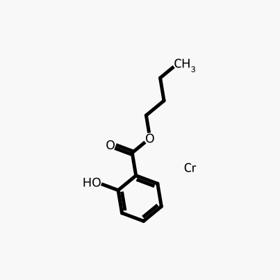 CCCCOC(=O)c1ccccc1O.[Cr]